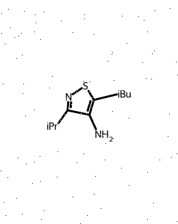 CCC(C)c1snc(C(C)C)c1N